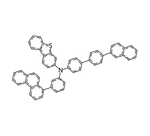 c1cc(-c2cccc3c2ccc2ccccc23)cc(N(c2ccc(-c3ccc(-c4ccc5ccccc5c4)cc3)cc2)c2ccc3c(c2)sc2ccccc23)c1